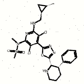 C[C@H]1C[C@@H]1CNc1nc(N(C)S(C)(=O)=O)c(Cl)c(-c2nnc([C@H]3NCCC[C@H]3c3ccccc3)o2)c1Cl